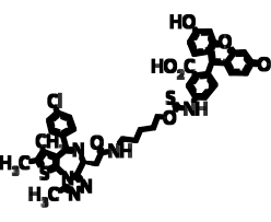 Cc1sc2c(c1C)C(c1ccc(Cl)cc1)=N[C@@H](CC(=O)NCCCCCOC(=S)Nc1ccc(-c3c4ccc(=O)cc-4oc4cc(O)ccc34)c(C(=O)O)c1)c1nnc(C)n1-2